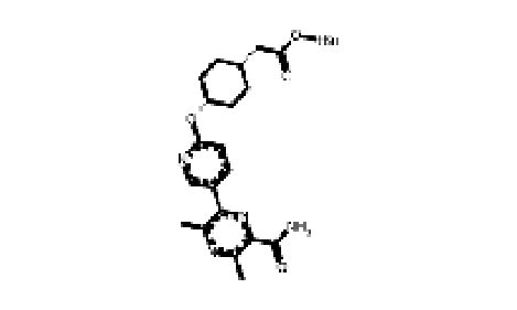 Cc1nc(C)c(-c2ccc(O[C@H]3CC[C@@H](CC(=O)OC(C)(C)C)CC3)nc2)nc1C(N)=O